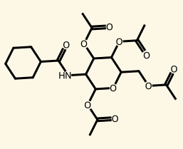 CC(=O)OCC1OC(OC(C)=O)C(NC(=O)C2CCCCC2)C(OC(C)=O)C1OC(C)=O